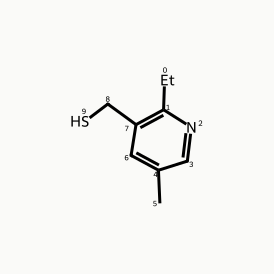 [CH]Cc1ncc(C)cc1CS